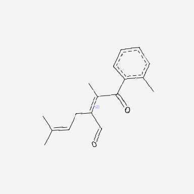 CC(C)=CC/C(C=O)=C(\C)C(=O)c1ccccc1C